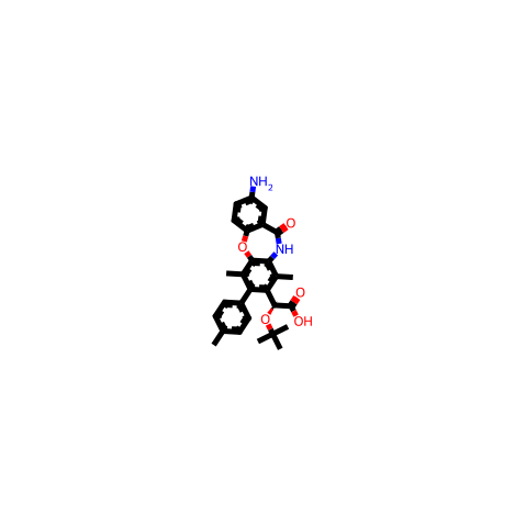 Cc1ccc(-c2c(C)c3c(c(C)c2[C@H](OC(C)(C)C)C(=O)O)NC(=O)c2cc(N)ccc2O3)cc1